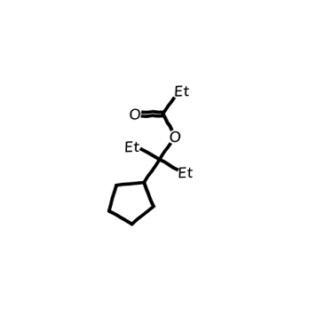 CCC(=O)OC(CC)(CC)C1CCCC1